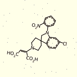 O=C(O)/C=C(\C(=O)O)N1CCC2(CC1)CN(c1ccccc1[N+](=O)[O-])c1cc(Cl)ccc12